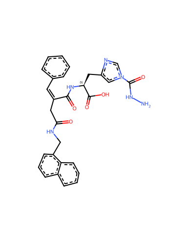 NNC(=O)n1cnc(C[C@H](NC(=O)C(=Cc2ccccc2)CC(=O)NCc2cccc3ccccc23)C(=O)O)c1